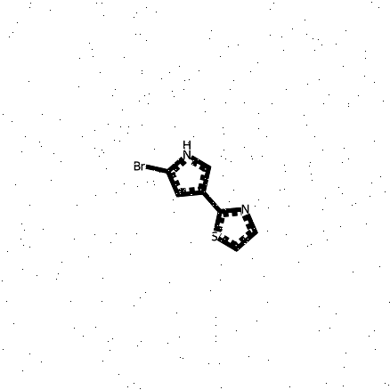 Brc1cc(-c2nccs2)c[nH]1